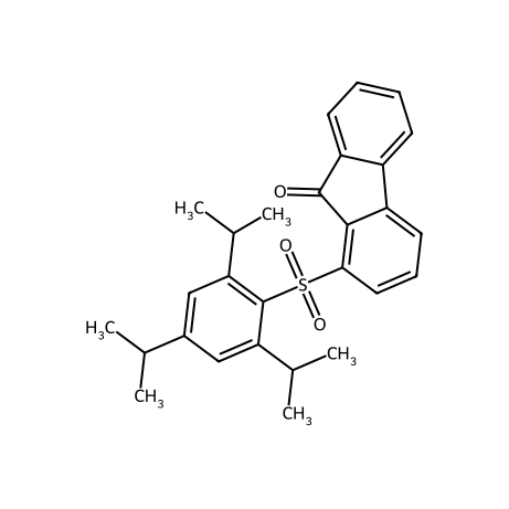 CC(C)c1cc(C(C)C)c(S(=O)(=O)c2cccc3c2C(=O)c2ccccc2-3)c(C(C)C)c1